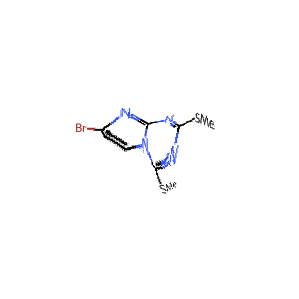 CSc1nc(SC)n2cc(Br)nc2n1